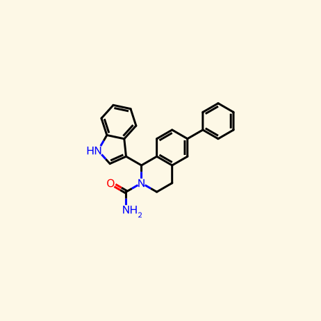 NC(=O)N1CCc2cc(-c3ccccc3)ccc2C1c1c[nH]c2ccccc12